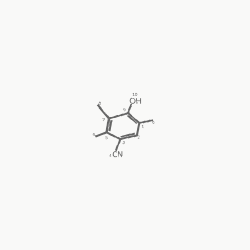 Cc1cc(C#N)c(C)c(C)c1O